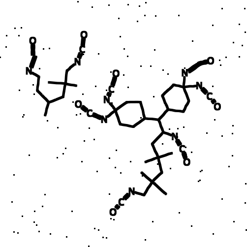 CC(C)(CN=C=O)CC(C)(C)CC(N=C=O)C(C1CCC(N=C=O)(N=C=O)CC1)C1CCC(N=C=O)(N=C=O)CC1.CC(CCN=C=O)CC(C)(C)CN=C=O